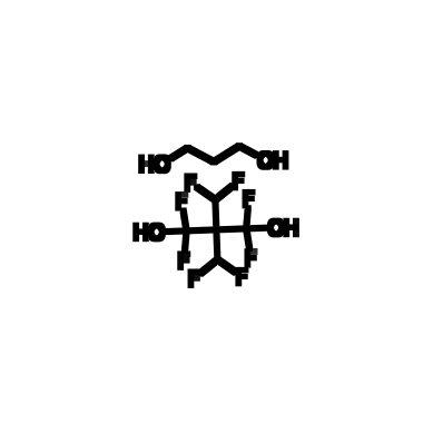 OC(F)(F)C(C(F)F)(C(F)F)C(O)(F)F.OCCCO